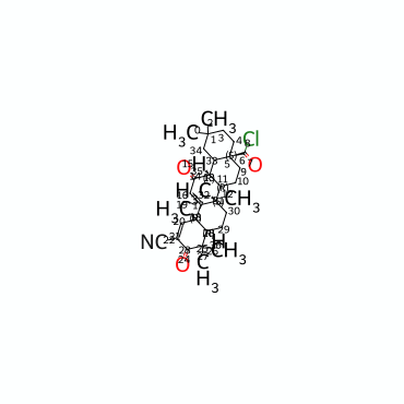 CC1(C)CC[C@]2(C(=O)Cl)CC[C@]3(C)[C@H](C(=O)C=C4[C@@]5(C)C=C(C#N)C(=O)C(C)(C)[C@@H]5CC[C@]43C)C2C1